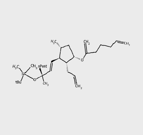 C=CCCCC(=C)O[C@H]1C[C@@H](C)[C@H](/C=C/[C@@](C)(CCCCC)O[Si](C)(C)C(C)(C)C)[C@H]1CC=C